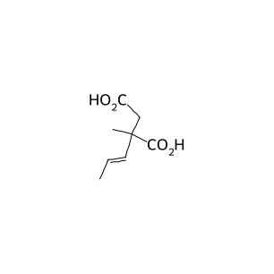 CC=CC(C)(CC(=O)O)C(=O)O